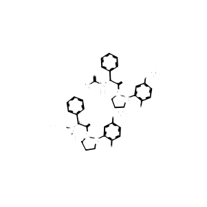 COc1ccc(Cl)c(N2CCCN2C(=O)[C@@H](NC(N)=O)c2ccccc2)c1.COc1ccc(Cl)c(N2CCCN2C(=O)[C@H](c2ccccc2)N(C(=O)O)C(C)(C)C)c1